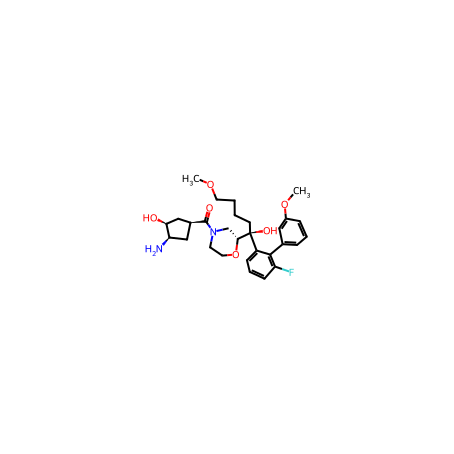 COCCCC[C@](O)(c1cccc(F)c1-c1cccc(OC)c1)[C@H]1CN(C(=O)[C@H]2C[C@@H](N)[C@@H](O)C2)CCO1